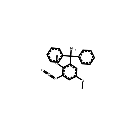 COc1cc(N=C=O)c(OC)c(C(N)(c2ccccc2)c2ccccc2)c1